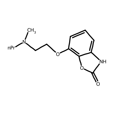 CCCN(C)CCOc1cccc2[nH]c(=O)oc12